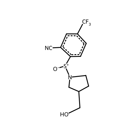 N#Cc1cc(C(F)(F)F)ccc1[S+]([O-])N1CCC(CO)C1